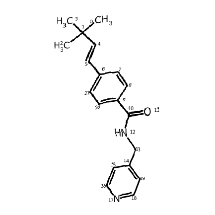 CC(C)(C)/C=C/c1ccc(C(=O)NCc2ccncc2)cc1